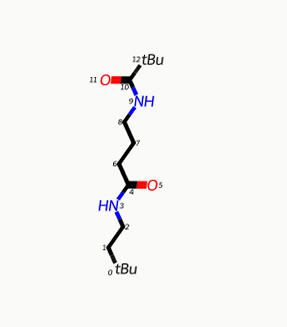 CC(C)(C)CCNC(=O)CCCNC(=O)C(C)(C)C